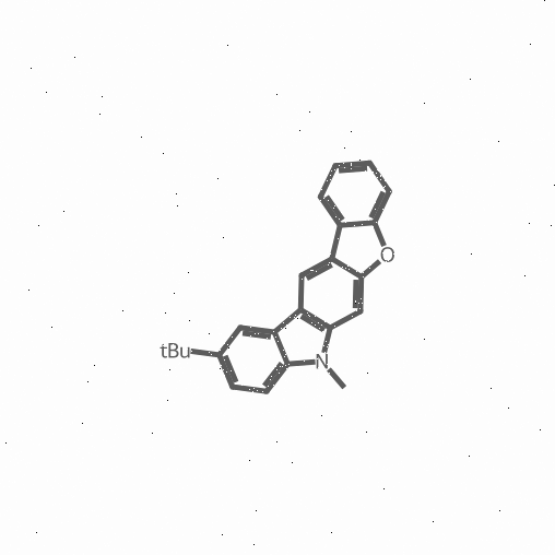 Cn1c2ccc(C(C)(C)C)cc2c2cc3c(cc21)oc1ccccc13